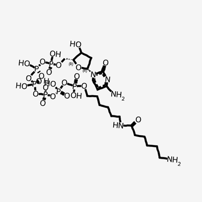 NCCCCCC(=O)NCCCCCCOP(=O)(O)OP(=O)(O)OP(=O)(O)OP(=O)(O)OP(=O)(O)OP(=O)(O)OC[C@H]1O[C@@H](n2ccc(N)nc2=O)CC1O